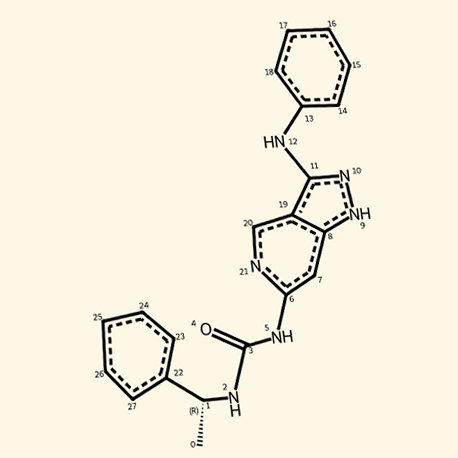 C[C@@H](NC(=O)Nc1cc2[nH]nc(Nc3ccccc3)c2cn1)c1ccccc1